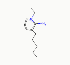 CCCCCc1ccc[n+](CC)c1N